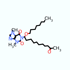 CCCCCCCCOC(CCCCCCCCC(C)=O)n1c(=O)c2c(ncn2C)n(C)c1=O